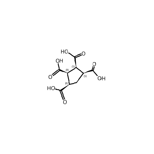 O=C(O)[C@@H]1[C@H](C(=O)O)[C@H](C(=O)O)C[C@@H]1C(=O)O